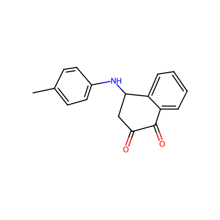 Cc1ccc(NC2CC(=O)C(=O)c3ccccc32)cc1